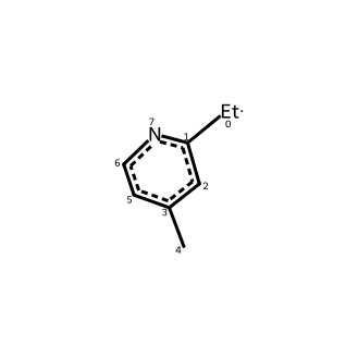 C[CH]c1cc(C)ccn1